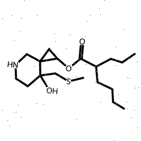 CCCCC(CCC)C(=O)OC1CC12CNCCC2(O)CSC